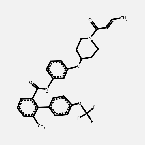 CC=CC(=O)N1CCC(Oc2cccc(NC(=O)c3cccc(C)c3-c3ccc(OC(F)(F)F)cc3)c2)CC1